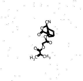 C=C(C)C(=O)OCC(=O)OC1C2CC3C(=O)OC1(C#N)C3C2